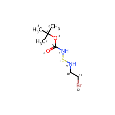 CC(C)(C)OC(=O)NSNCCBr